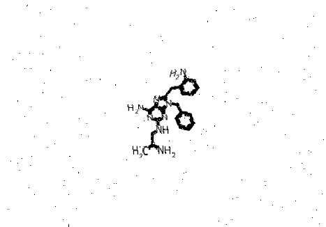 CC(N)CNc1nc(N)c2nc(Cc3ccccc3N)n(Cc3ccccc3)c2n1